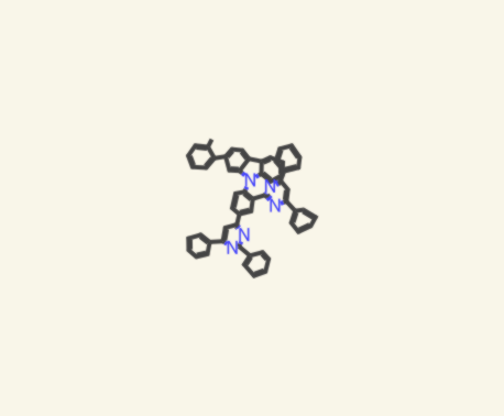 Cc1ccccc1-c1ccc2c3ccccc3n(-c3ccc(-c4cc(-c5ccccc5)nc(-c5ccccc5)n4)cc3-c3nc(-c4ccccc4)cc(-c4ccccc4)n3)c2c1